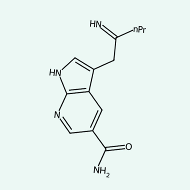 CCCC(=N)Cc1c[nH]c2ncc(C(N)=O)cc12